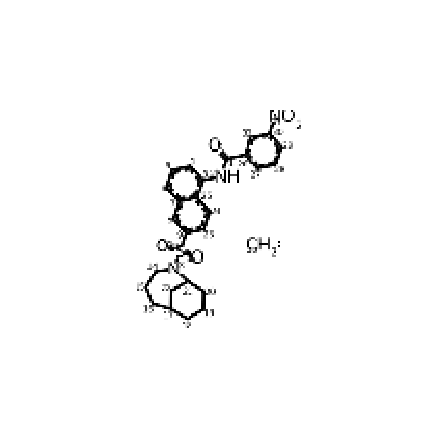 O=C(Nc1cccc2cc(S(=O)(=O)N3CCCC4CCCC3C4)ccc12)c1cccc([N+](=O)[O-])c1.[CH2]